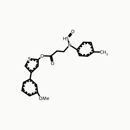 COc1cccc(-c2csc(OC(=O)CCN([SH]=O)c3ccc(C)cc3)c2)c1